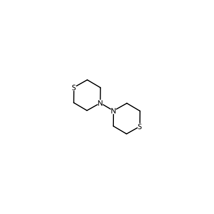 C1CN(N2CCSCC2)CCS1